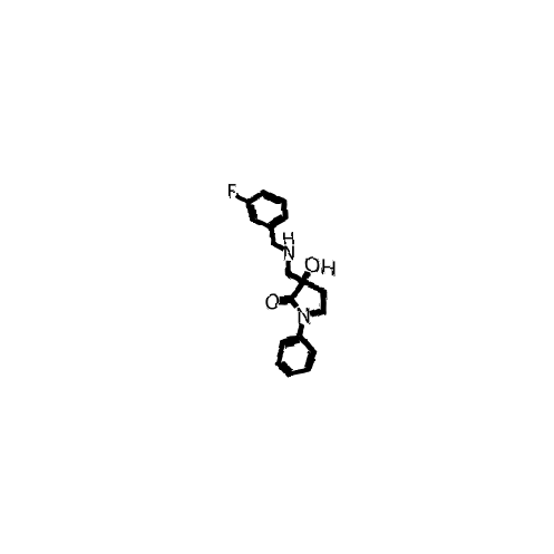 O=C1N(c2ccccc2)CCC1(O)CNCc1cccc(F)c1